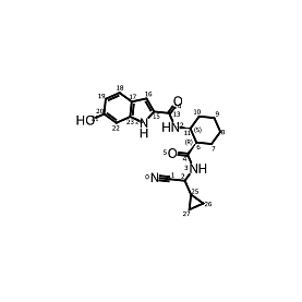 N#CC(NC(=O)[C@@H]1CCCC[C@@H]1NC(=O)c1cc2ccc(O)cc2[nH]1)C1CC1